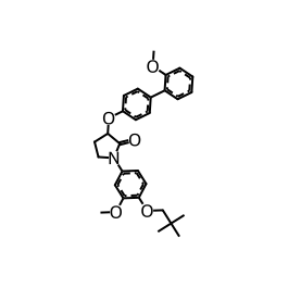 COc1cc(N2CCC(Oc3ccc(-c4ccccc4OC)cc3)C2=O)ccc1OCC(C)(C)C